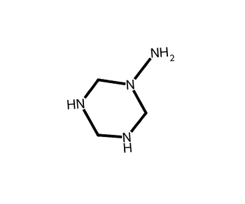 NN1CNCNC1